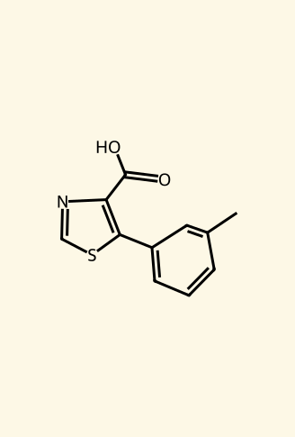 Cc1cccc(-c2scnc2C(=O)O)c1